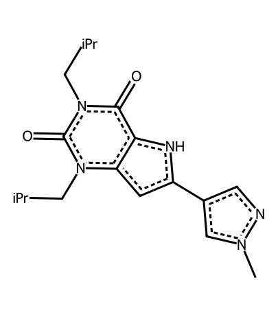 CC(C)Cn1c(=O)c2[nH]c(-c3cnn(C)c3)cc2n(CC(C)C)c1=O